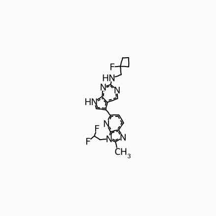 Cc1nc2ccc(-c3c[nH]c4nc(NCC5(F)CCC5)ncc34)nc2n1CC(F)F